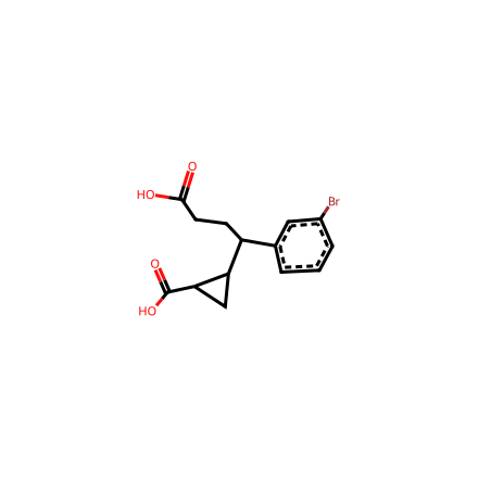 O=C(O)CCC(c1cccc(Br)c1)C1CC1C(=O)O